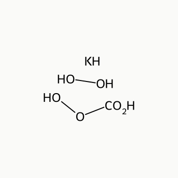 O=C(O)OO.OO.[KH]